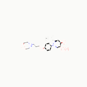 Cc1cc(=O)c(O)cn1-c1ccc(OCCCN2CCOCC2)cc1